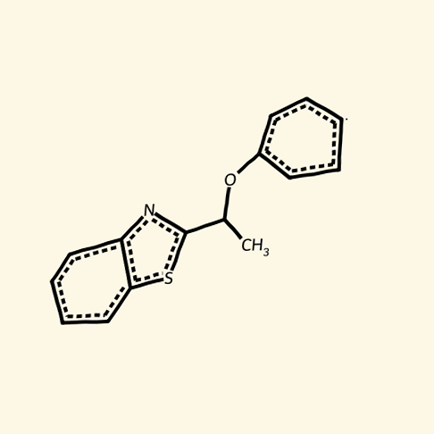 CC(Oc1cc[c]cc1)c1nc2ccccc2s1